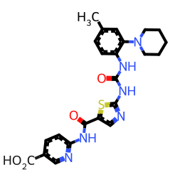 Cc1ccc(NC(=O)Nc2ncc(C(=O)Nc3ccc(C(=O)O)cn3)s2)c(N2CCCCC2)c1